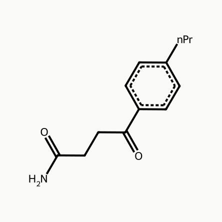 CCCc1ccc(C(=O)CCC(N)=O)cc1